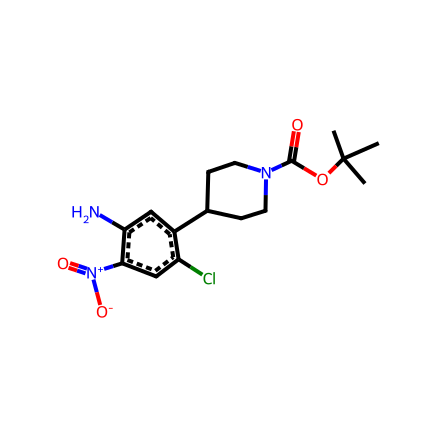 CC(C)(C)OC(=O)N1CCC(c2cc(N)c([N+](=O)[O-])cc2Cl)CC1